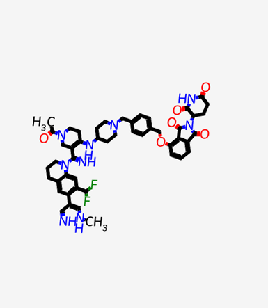 CN/C=C(\C=N)c1cc2c(cc1C(F)F)N(C(=N)C1=C(NC3CCN(Cc4ccc(COc5cccc6c5C(=O)N(C5CCC(=O)NC5=O)C6=O)cc4)CC3)CCN(C(C)=O)C1)CCC2